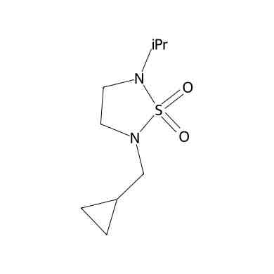 CC(C)N1CCN(CC2CC2)S1(=O)=O